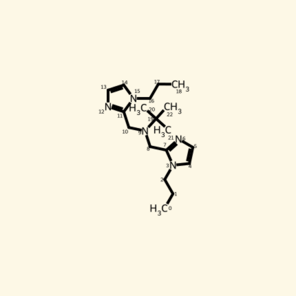 CCCn1ccnc1CN(Cc1nccn1CCC)C(C)(C)C